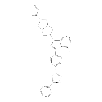 C=CC(=O)N1CC2CC(n3nc(-c4ccc(-c5n[nH]c(-c6ccccn6)n5)cc4)c4c(N)ncnc43)CC2C1